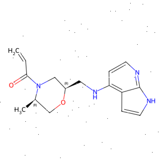 C=CC(=O)N1C[C@@H](CNc2ccnc3[nH]ccc23)OC[C@H]1C